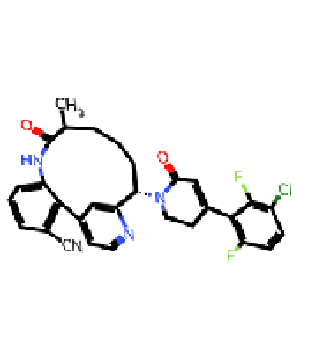 CC1CCC[C@H](N2CCC(c3c(F)ccc(Cl)c3F)=CC2=O)c2cc(ccn2)-c2c(C#N)cccc2NC1=O